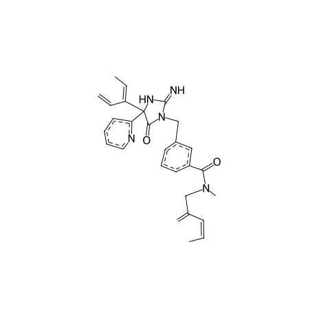 C=C/C(=C\C)C1(c2ccccn2)NC(=N)N(Cc2cccc(C(=O)N(C)CC(=C)/C=C\C)c2)C1=O